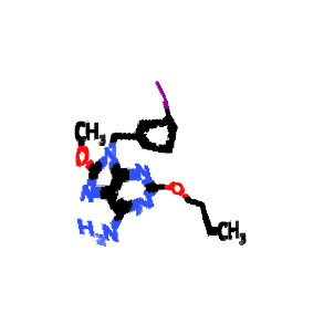 CCCCOc1nc(N)c2nc(OC)n(Cc3cccc(I)c3)c2n1